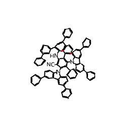 N#Cc1c(Nc2ccc(-c3ccccc3)cc2-c2cccc(-c3ccccc3)c2)c(-c2ccccc2)c(-n2c3ccc(-c4ccccc4)cc3c3cc(-c4ccccc4)ccc32)c(-c2ccccc2)c1-n1c2ccc(-c3ccccc3)cc2c2cc(-c3ccccc3)ccc21